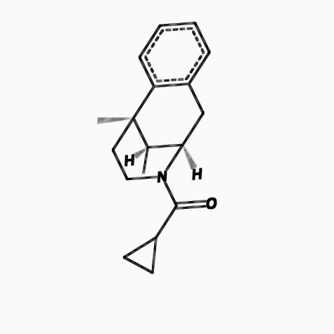 C[C@@H]1[C@H]2Cc3ccccc3[C@]1(C)CCN2C(=O)C1CC1